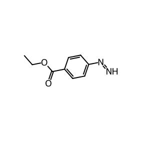 CCOC(=O)c1ccc(N=N)cc1